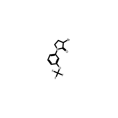 O=C1C(Br)CCN1c1cccc(OC(F)(F)F)c1